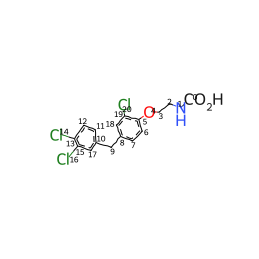 O=C(O)NCCOc1ccc(Cc2ccc(Cl)c(Cl)c2)cc1Cl